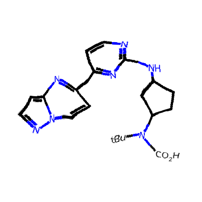 CC(C)(C)N(C(=O)O)C1CCC(Nc2nccc(-c3ccn4nccc4n3)n2)C1